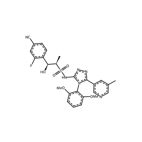 COc1cccc(OC)c1-n1c(NS(=O)(=O)[C@H](C)[C@@H](O)c2ccc(C#N)cc2F)nnc1-c1cncc(C)c1